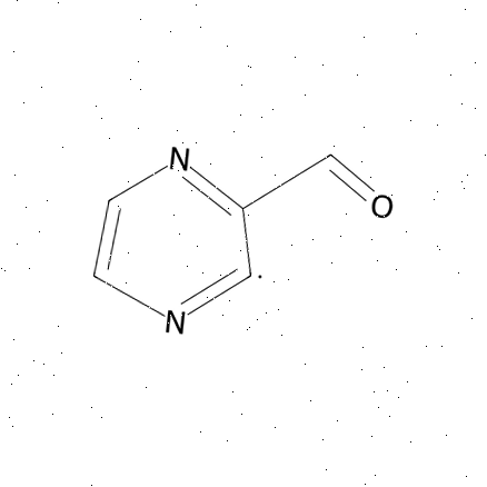 O=Cc1[c]nccn1